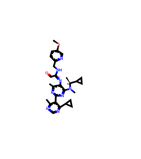 CSc1ccc(CN/C(C=O)=N/c2c(C)nc(-c3c(C)ncnc3C3CC3)nc2N(C)[C@@H](C)C2CC2)nc1